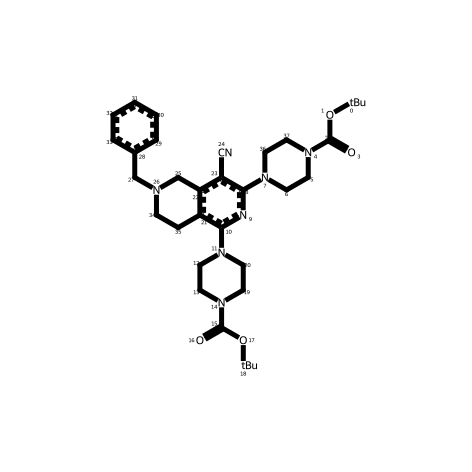 CC(C)(C)OC(=O)N1CCN(c2nc(N3CCN(C(=O)OC(C)(C)C)CC3)c3c(c2C#N)CN(Cc2ccccc2)CC3)CC1